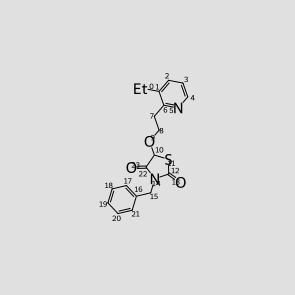 CCc1cccnc1CCOC1SC(=O)N(Cc2ccccc2)C1=O